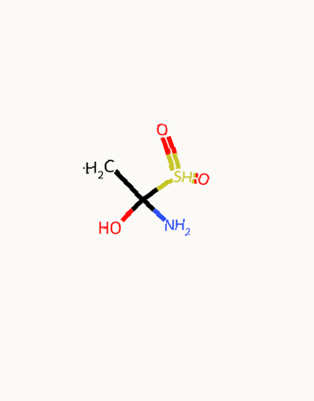 [CH2]C(N)(O)[SH](=O)=O